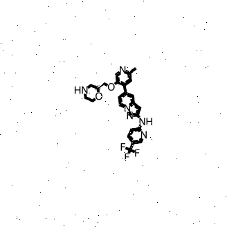 Cc1cc(-c2ccn3nc(Nc4ccc(C(F)(F)F)cn4)cc3c2)c(OC[C@@H]2CNCCO2)cn1